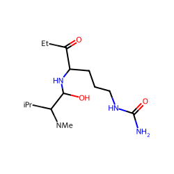 CCC(=O)C(CCCNC(N)=O)NC(O)C(NC)C(C)C